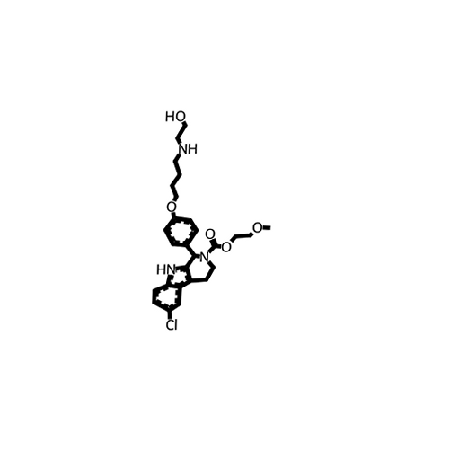 COCCOC(=O)N1CCc2c([nH]c3ccc(Cl)cc23)C1c1ccc(OCCCCNCCO)cc1